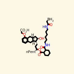 BCC(=O)NCCCCCCNC(=O)C1CCCCC1C(=O)O[C@@H](CCCCC)CC[C@@H]1[C@H]2Cc3cccc(OCC(=O)O)c3C[C@H]2C[C@H]1O